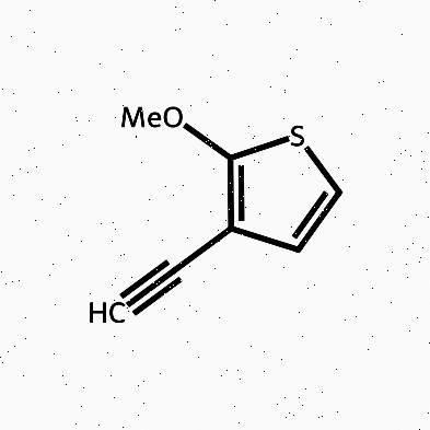 C#Cc1ccsc1OC